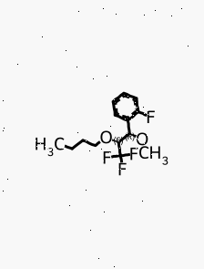 CCCCO[C@@H]([C@H](OC)c1ccccc1F)C(F)(F)F